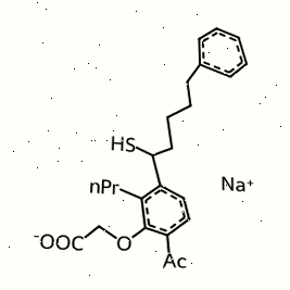 CCCc1c(C(S)CCCCc2ccccc2)ccc(C(C)=O)c1OCC(=O)[O-].[Na+]